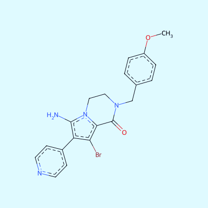 COc1ccc(CN2CCn3c(N)c(-c4ccncc4)c(Br)c3C2=O)cc1